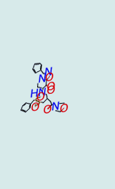 CC[C@H](NC(=O)C(CC(=O)N1CCOCC1)CS(=O)(=O)Cc1ccccc1)C(=O)c1nc(-c2ccccc2)no1